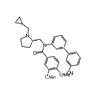 COc1ccc(C(=O)N(CC2CCCN2CC2CC2)c2cccc(-c3cccc(C#N)c3)c2)cc1OC